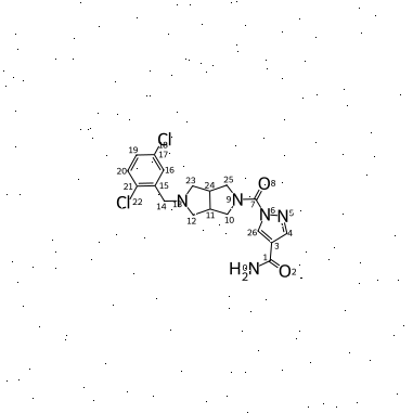 NC(=O)c1cnn(C(=O)N2CC3CN(Cc4cc(Cl)ccc4Cl)CC3C2)c1